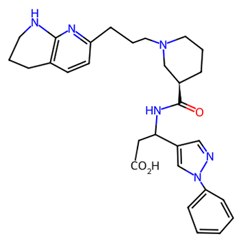 O=C(O)CC(NC(=O)[C@@H]1CCCN(CCCc2ccc3c(n2)NCCC3)C1)c1cnn(-c2ccccc2)c1